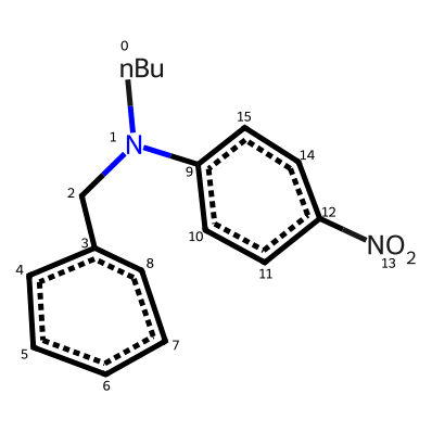 CCCCN(Cc1ccccc1)c1ccc([N+](=O)[O-])cc1